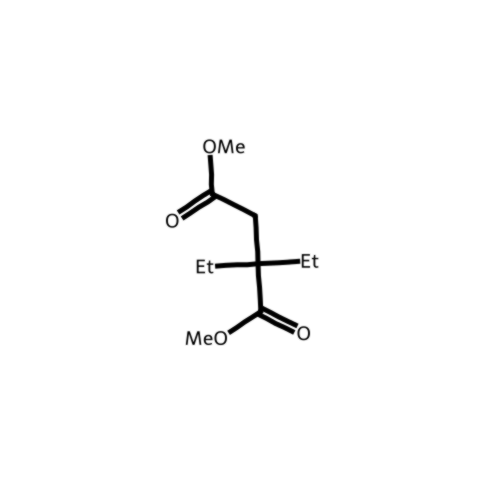 CCC(CC)(CC(=O)OC)C(=O)OC